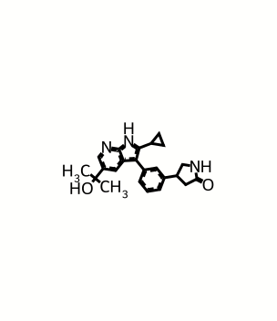 CC(C)(O)c1cnc2[nH]c(C3CC3)c(-c3cccc(C4CNC(=O)C4)c3)c2c1